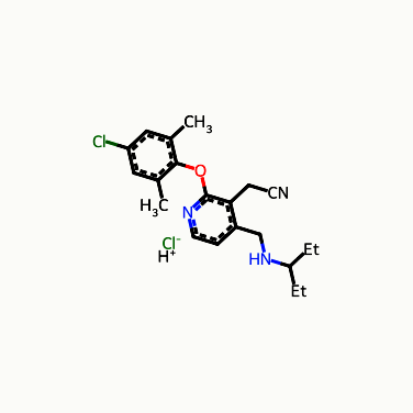 CCC(CC)NCc1ccnc(Oc2c(C)cc(Cl)cc2C)c1CC#N.[Cl-].[H+]